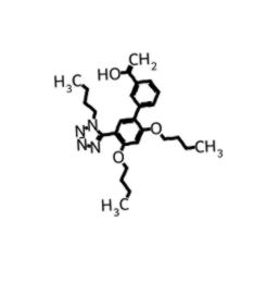 C=C(O)c1cccc(-c2cc(-c3nnnn3CCCC)c(OCCCC)cc2OCCCC)c1